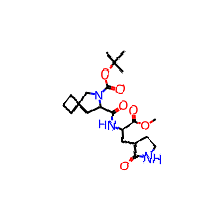 COC(=O)C(CC1CCNC1=O)NC(=O)C1CC2(CCC2)CN1C(=O)OC(C)(C)C